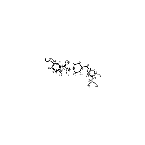 Cc1cn(CC2CCC(NC(=O)c3cc(Cl)cnc3C)CC2)nc1C(C)C